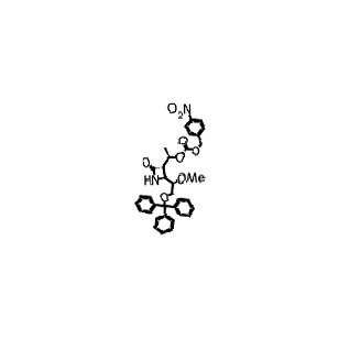 CO[C@@H](COC(c1ccccc1)(c1ccccc1)c1ccccc1)[C@H]1NC(=O)[C@@H]1[C@@H](C)OC(=O)OCc1ccc([N+](=O)[O-])cc1